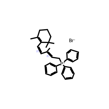 CC1=C(/C=C\C(C)=C\C[P+](c2ccccc2)(c2ccccc2)c2ccccc2)C(C)(C)CCC1.[Br-]